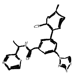 Cc1ccc(-c2cc(C(=O)NC(C)c3cnccn3)cc(-n3cnnn3)c2)c(Cl)c1